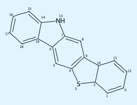 C1=CC2Sc3cc4c(cc3C2C=C1)[nH]c1ccccc14